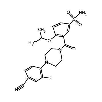 CC(C)Oc1ccc(S(N)(=O)=O)cc1C(=O)N1CCN(c2ccc(C#N)cc2F)CC1